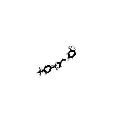 Cc1cc[c]c(OCc2coc(-c3ccc(C(F)(F)F)cc3)n2)c1